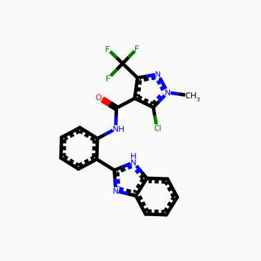 Cn1nc(C(F)(F)F)c(C(=O)Nc2ccccc2-c2nc3ccccc3[nH]2)c1Cl